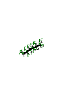 FCC(F)(F)C(F)(F)C(F)(F)C(F)(F)C(F)F